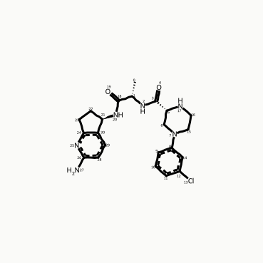 C[C@H](NC(=O)[C@H]1CN(c2cccc(Cl)c2)CCN1)C(=O)N[C@@H]1CCc2nc(N)ccc21